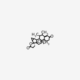 CC1C2=CC(=O)CCC2(C)C2CC[C@@]3(C)C(C4CC4[C@@]34CCC(=O)O4)C2C1C